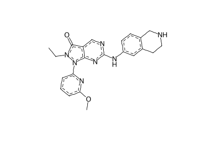 CCn1c(=O)c2cnc(Nc3ccc4c(c3)CCNC4)nc2n1-c1cccc(OC)n1